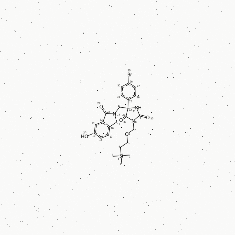 C[Si](C)(C)CCOCN1C(=O)NC(CN2Cc3ccc(O)cc3C2=O)(c2ccc(Br)cc2)C1=O